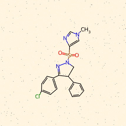 Cn1cnc(S(=O)(=O)N2CC(c3ccccc3)C(c3ccc(Cl)cc3)=N2)c1